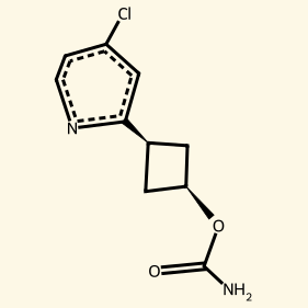 NC(=O)O[C@H]1C[C@@H](c2cc(Cl)ccn2)C1